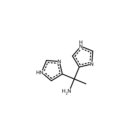 CC(N)(c1c[nH]cn1)c1c[nH]cn1